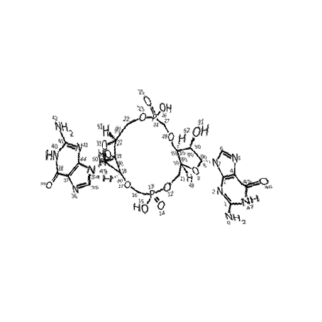 Nc1nc2c(ncn2[C@@H]2O[C@@H]3COP(=O)(O)CO[C@@H]4[C@H](O)[C@@H](COP(=O)(O)CO[C@H]3[C@H]2O)O[C@H]4n2cnc3c(=O)[nH]c(N)nc32)c(=O)[nH]1